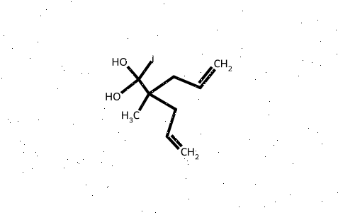 C=CCC(C)(CC=C)C(O)(O)I